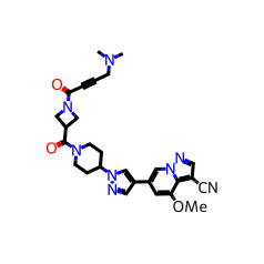 COc1cc(-c2cnn(C3CCN(C(=O)C4CN(C(=O)C#CCN(C)C)C4)CC3)c2)cn2ncc(C#N)c12